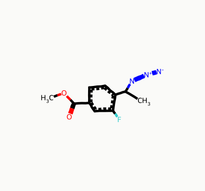 COC(=O)c1ccc(C(C)N=[N+]=[N-])c(F)c1